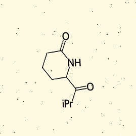 CC(C)C(=O)C1CCCC(=O)N1